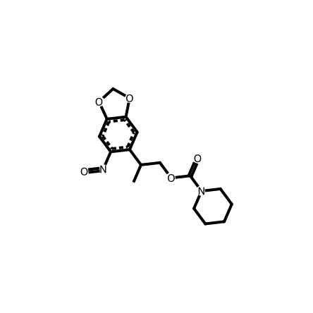 CC(COC(=O)N1CCCCC1)c1cc2c(cc1N=O)OCO2